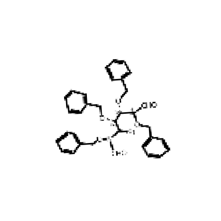 CCC([C@H](OCc1ccccc1)[C@H](OCc1ccccc1)[C@@H](C=O)OCc1ccccc1)N(C=O)OCc1ccccc1